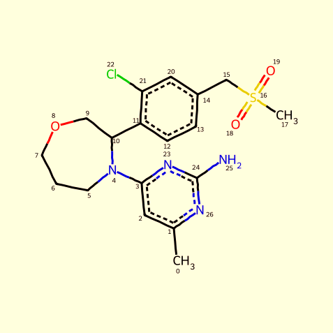 Cc1cc(N2CCCOCC2c2ccc(CS(C)(=O)=O)cc2Cl)nc(N)n1